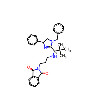 CC(C)(C)[C@@H](NCCCN1C(=O)c2ccccc2C1=O)C1=NC(c2ccccc2)CN1Cc1ccccc1